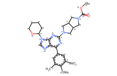 COc1c(C)cc(-c2nc(N3CC4CN(C(=O)OC(C)(C)C)CC4C3)nc3c2ncn3C2CCCCO2)cc1[N+](=O)[O-]